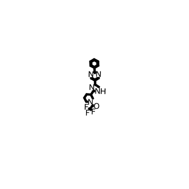 O=C(N1CCCC(C2=NC(c3cnc(-c4ccccc4)nc3)CN2)C1)C(F)(F)F